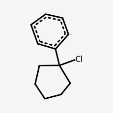 ClC1(c2[c]cccc2)CCCCC1